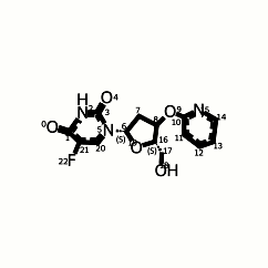 O=c1[nH]c(=O)n([C@@H]2CC(Oc3ccccn3)[C@H](CO)O2)cc1F